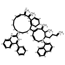 C=CCCC1C(C)C(=C)/C=C([C@H]2CCN(c3nc(-c4ccccc4)c4ccccc4n3)CCC/C=C\C(=C)C(=C)C3=C2CCC=C3)\C=C/CN1c1cccc2ccccc12